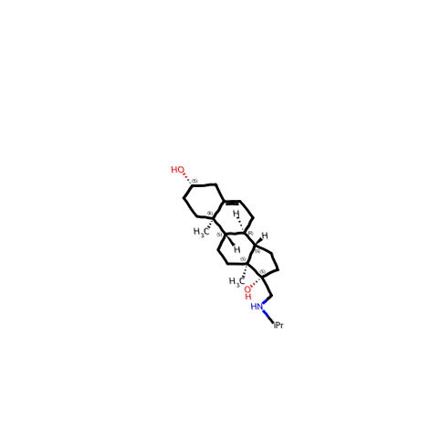 CC(C)NC[C@]1(O)CC[C@H]2[C@@H]3CC=C4C[C@@H](O)CC[C@]4(C)[C@H]3CC[C@@]21C